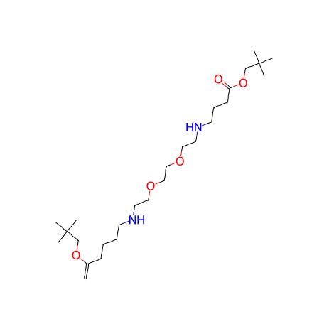 C=C(CCCCNCCOCCOCCNCCCC(=O)OCC(C)(C)C)OCC(C)(C)C